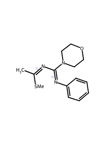 CS/C(C)=N\C(=N\c1ccccc1)N1CCOCC1